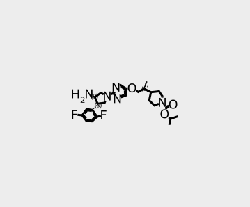 CC(C)OC(=O)N1CCC([C@H](C)COc2cnc(N3C[C@H](c4cc(F)ccc4F)[C@@H](N)C3)nc2)CC1